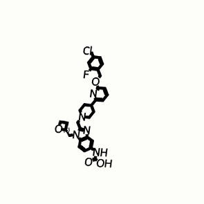 O=C(O)Nc1ccc2c(c1)nc(CN1CCC(c3cccc(OCc4ccc(Cl)cc4F)n3)CC1)n2C[C@@H]1CCO1